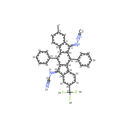 [C-]#[N+]/N=c1\c2cc(C)ccc2c2c(-c3ccccc3)c3/c(=N/C#N)c4cc(C(F)(F)F)ccc4c3c(-c3ccccc3)c12